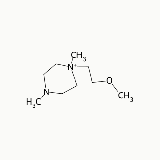 COCC[N+]1(C)CCN(C)CC1